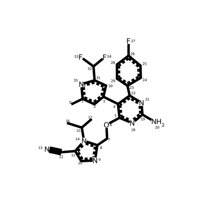 Cc1cc(-c2c(OCc3ncc(C#N)n3C(C)C)nc(N)nc2-c2ccc(F)cc2)cc(C(F)F)n1